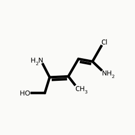 CC(/C=C(\N)Cl)=C(/N)CO